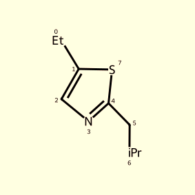 CCc1cnc(CC(C)C)s1